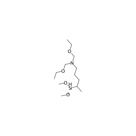 CCOCN(CCCC(C)[SiH](OC)OC)COCC